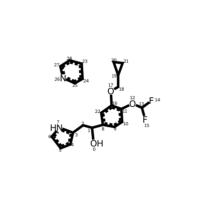 OC(Cc1ccc[nH]1)c1ccc(OC(F)F)c(OCC2CC2)c1.c1ccncc1